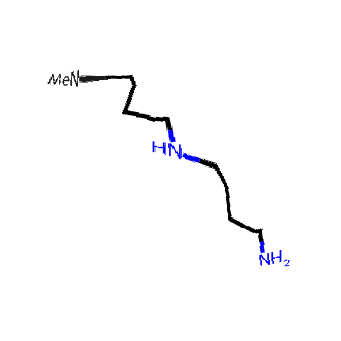 CNCCCNCCCN